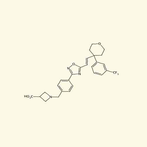 O=C(O)C1CN(Cc2ccc(-c3noc(/C=C/C4(c5cccc(C(F)(F)F)c5)CCOCC4)n3)cc2)C1